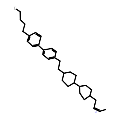 C/C=C\CC1CCC(C2CCC(CCc3ccc(-c4ccc(CCCCF)cc4)cc3)CC2)CC1